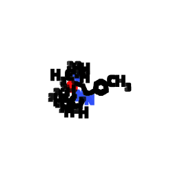 [2H]c1c(C([2H])([2H])[2H])c([2H])n2c(CC(=O)N(C)C([2H])([2H])[2H])c(-c3ccc(C)cc3)nc2c1[2H]